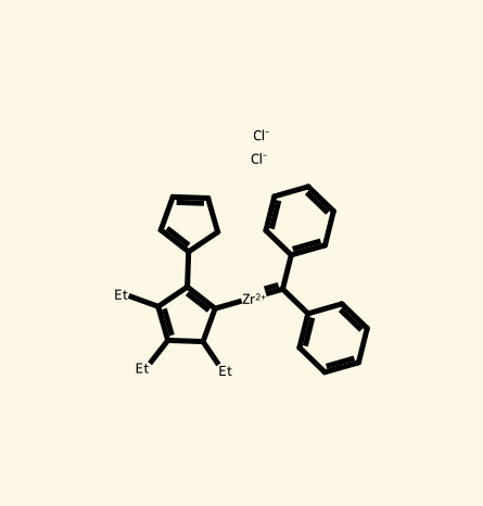 CCC1=C(CC)C(CC)[C]([Zr+2]=[C](c2ccccc2)c2ccccc2)=C1C1=CC=CC1.[Cl-].[Cl-]